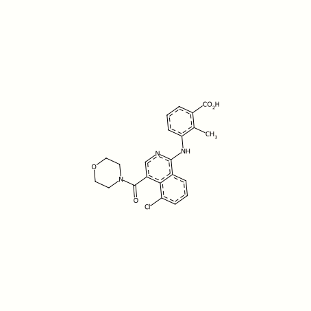 Cc1c(Nc2ncc(C(=O)N3CCOCC3)c3c(Cl)cccc23)cccc1C(=O)O